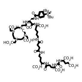 CC(C)(C)S(F)(c1ccc(C(=O)NC[C@@H](NC(=O)CN2CCN(CC(=O)O)CCN(CC(=O)O)CCN(CC(=O)O)CC2)C(=O)N[C@H](CCCCNC(=O)CCC(=O)NCCC[C@@H](NC(=O)CC[C@H](NC(=O)N[C@@H](CCC(=O)O)C(=O)O)C(=O)O)C(=O)O)C(=O)O)cc1)C(C)(C)C